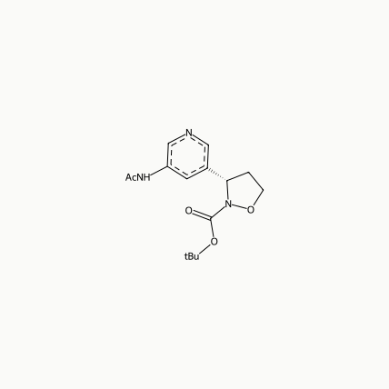 CC(=O)Nc1cncc([C@@H]2CCON2C(=O)OC(C)(C)C)c1